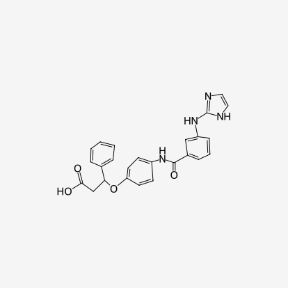 O=C(O)CC(Oc1ccc(NC(=O)c2cccc(Nc3ncc[nH]3)c2)cc1)c1ccccc1